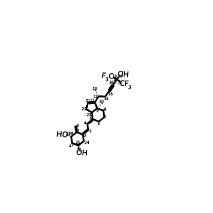 C=C1/C(=C\C=C2/CCC[C@]3(C)C([C@H](C)CC#CC(O)(C(F)(F)F)C(F)(F)F)=CCC23)C[C@@H](O)C[C@@H]1O